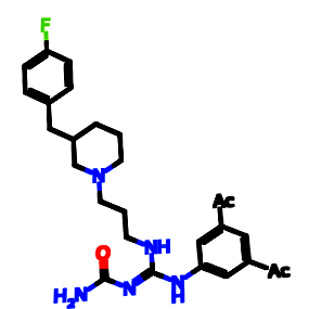 CC(=O)c1cc(NC(=NC(N)=O)NCCCN2CCCC(Cc3ccc(F)cc3)C2)cc(C(C)=O)c1